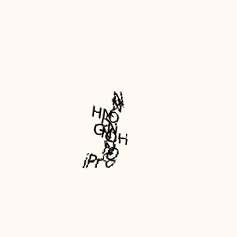 CC(C)[C@H](CC(=O)N1CCC(O)(Cn2cnc3cc(NC(=O)CCn4ccnc4)ccc3c2=O)CC1)c1ccccc1